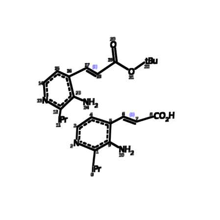 CC(C)c1nccc(/C=C/C(=O)O)c1N.CC(C)c1nccc(/C=C/C(=O)OC(C)(C)C)c1N